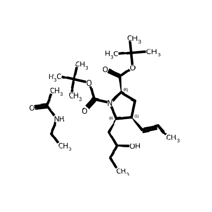 CC=C[C@@H]1C[C@H](C(=O)OC(C)(C)C)N(C(=O)OC(C)(C)C)[C@@H]1CC(O)CC.CCNC(C)=O